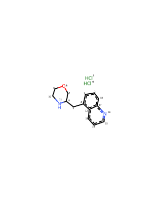 Cl.Cl.c1cc(CC2COCCN2)c2cccnc2c1